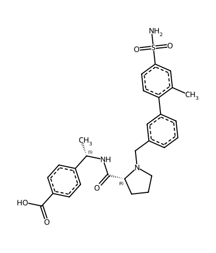 Cc1cc(S(N)(=O)=O)ccc1-c1cccc(CN2CCC[C@@H]2C(=O)N[C@@H](C)c2ccc(C(=O)O)cc2)c1